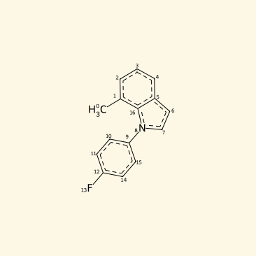 Cc1c[c]cc2ccn(-c3ccc(F)cc3)c12